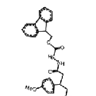 COc1ccc(C(CC(=O)O)CC(=O)NNC(=O)OCC2c3ccccc3-c3ccccc32)cc1